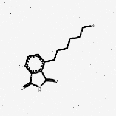 O=C1NC(=O)c2c(CCCCCCBr)cccc21